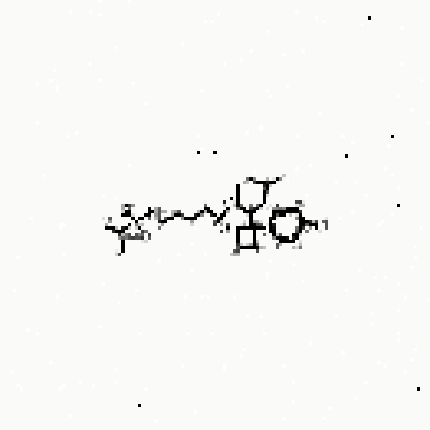 CC(C)CC(NC(=O)CCCCNS(=O)(=O)C(C)C)C1(c2ccc(Cl)cc2)CCC1